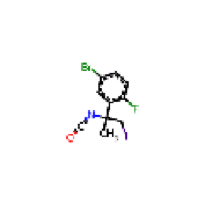 CC(CI)(N=C=O)c1cc(Br)ccc1F